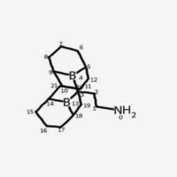 NCCC(B1C2CCCC1CCC2)B1C2CCCC1CCC2